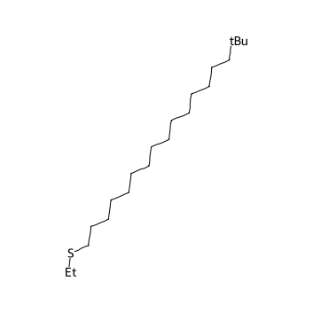 CCSCCCCCCCCCCCCCCCC(C)(C)C